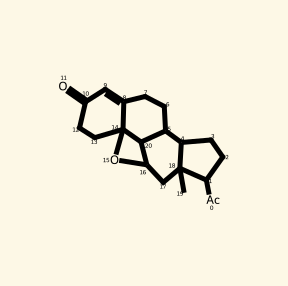 CC(=O)C1CCC2C3CCC4=CC(=O)CCC45OC(CC12C)C35